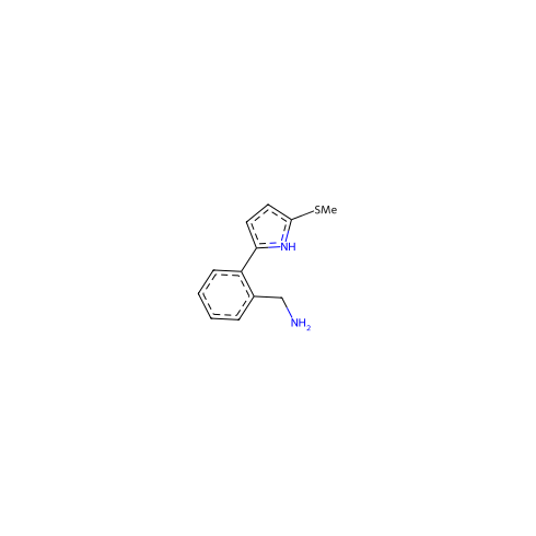 CSc1ccc(-c2ccccc2CN)[nH]1